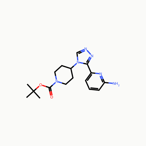 CC(C)(C)OC(=O)N1CCC(n2cnnc2-c2cccc(N)n2)CC1